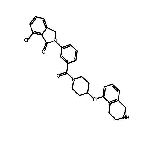 O=C(c1cccc(N2Cc3cccc(Cl)c3C2=O)c1)N1CCC(Oc2cccc3c2CCNC3)CC1